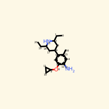 CCC1CC(c2cc(OC3CC3)c(N)cc2C)CC(CC)N1